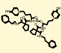 N=c1ccn(CCCC(NC(=O)C2(C(=O)NCCc3ccccc3)CCCC2)OBOC(CCCn2ccc(=N)cc2)NC(=O)C2(C(=O)NCCc3ccccc3)CCCC2)cc1